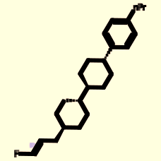 CCCc1ccc([C@H]2CC[C@H]([C@H]3CC[C@H](C/C=C/F)CC3)CC2)cc1